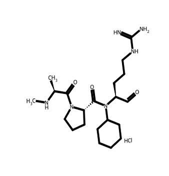 CN[C@@H](C)C(=O)N1CCC[C@H]1C(=O)N(C1CCCCC1)[C@H](C=O)CCCNC(=N)N.Cl